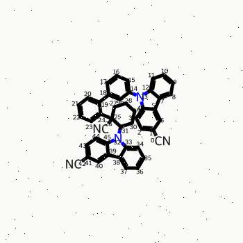 N#Cc1ccc2c(c1)c1ccccc1n2-c1cccc(-c2ccccc2C2(C#N)CCCCC2n2c3ccccc3c3cc(C#N)ccc32)c1